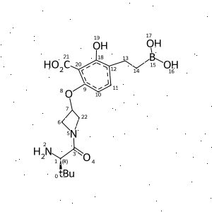 CC(C)(C)[C@@H](N)C(=O)N1CC(Oc2ccc(CCB(O)O)c(O)c2C(=O)O)C1